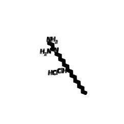 CCCCCCCCCCCCCCCCN=C(N)CCN.Cl.Cl